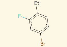 [CH2]Cc1ccc(Br)cc1F